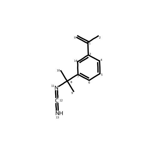 C=C(C)c1cccc(C(C)(C)N=C=N)c1